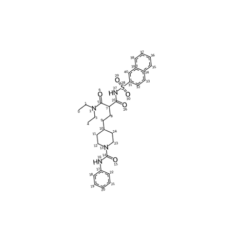 CCN(CC)C(=O)C(CCC1CCN(C(=O)Nc2ccccc2)CC1)C(=O)NS(=O)(=O)c1ccc2ccccc2c1